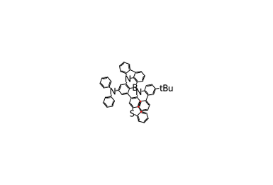 CC(C)(C)c1ccc(N2B3c4c(cc(N(c5ccccc5)c5ccccc5)cc4-n4c5ccccc5c5cccc3c54)-c3cc4sc5ccccc5c4cc32)c(-c2ccccc2)c1